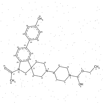 CCOC(O)N1CCC(N2CCC3(CC2)CN(C(C)=O)c2ccc(-c4ccc(C)cc4)cc23)CC1